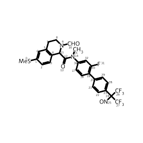 CSc1ccc2c(c1)CCN(C=O)C2C(=O)N(C)c1ccc(-c2ccc(C(N=O)(C(F)(F)F)C(F)(F)F)cc2)c(F)c1